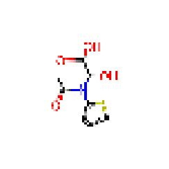 CC(=O)N(c1cccs1)C(O)C(=O)O